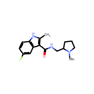 CCCCN1CCCC1CNC(=O)c1c(C)[nH]c2ccc(F)cc12